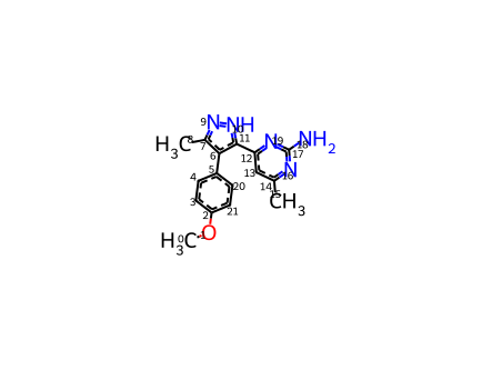 COc1ccc(-c2c(C)n[nH]c2-c2cc(C)nc(N)n2)cc1